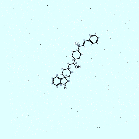 O=C(/C=C/c1ccccc1)N1CCC([C@@H](O)CN2CCC3(CC2)CNc2ccccc23)CC1